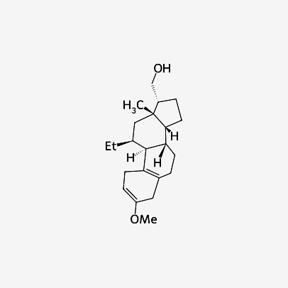 CC[C@H]1C[C@]2(C)[C@H](CO)CC[C@@H]2[C@@H]2CCC3=C(CC=C(OC)C3)[C@@H]12